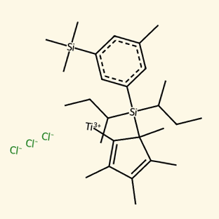 CCC(C)[Si](c1cc(C)cc([Si](C)(C)C)c1)(C(C)CC)C1(C)C(C)=C(C)C(C)=[C]1[Ti+3].[Cl-].[Cl-].[Cl-]